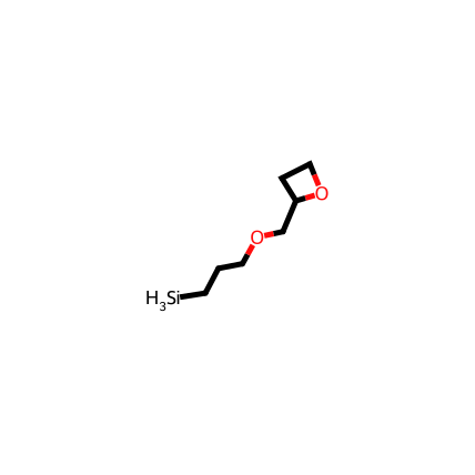 [SiH3]CCCOCC1CCO1